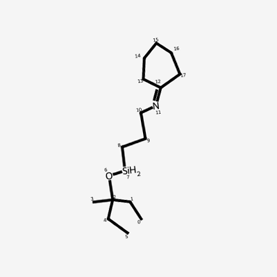 CCC(C)(CC)O[SiH2]CCCN=C1CCCCC1